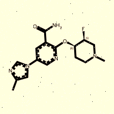 Cc1cn(-c2cnc(O[C@@H]3CCN(C)C[C@@H]3F)c(C(N)=O)c2)cn1